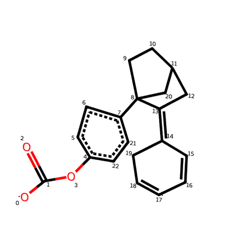 [O]C(=O)Oc1ccc(C23CCC(CC2=C2C=C[C]=CC2)C3)cc1